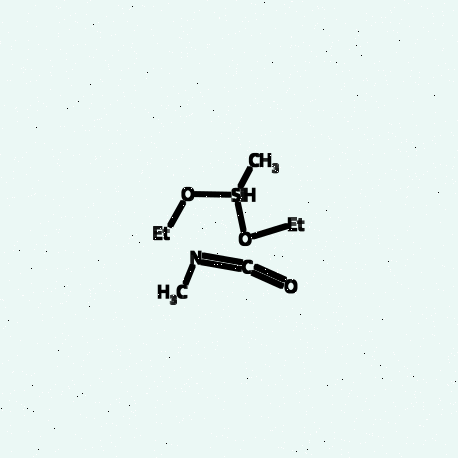 CCO[SiH](C)OCC.CN=C=O